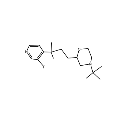 CC(C)(CCC1CN(C(C)(C)C)CCO1)c1ccncc1F